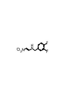 O=[N+]([O-])C=CNCc1ccc(F)c(F)c1